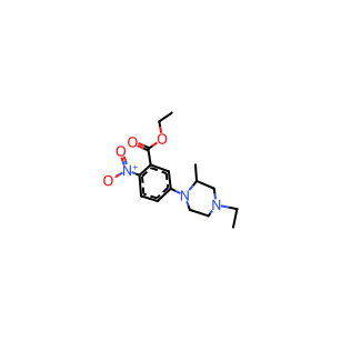 CCOC(=O)c1cc(N2CCN(CC)CC2C)ccc1[N+](=O)[O-]